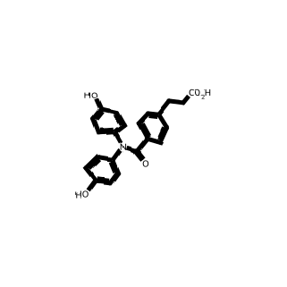 O=C(O)CCc1ccc(C(=O)N(c2ccc(O)cc2)c2ccc(O)cc2)cc1